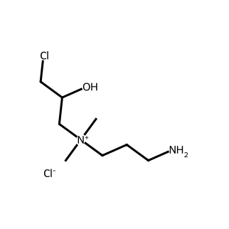 C[N+](C)(CCCN)CC(O)CCl.[Cl-]